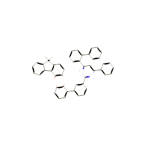 CC1(C)c2ccccc2-c2c1ccc1c2Oc2cccc(-c3cccc(-c4nc(-c5ccccc5)cc(-c5ccccc5-c5ccccc5)n4)c3)c2O1